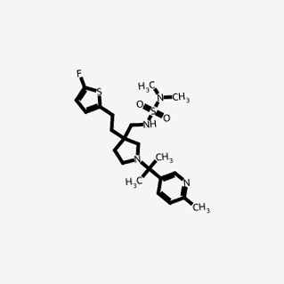 Cc1ccc(C(C)(C)N2CCC(CCc3ccc(F)s3)(CNS(=O)(=O)N(C)C)C2)cn1